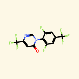 O=c1cc(C(F)(F)F)ncn1-c1c(F)cc(C(F)(F)F)cc1F